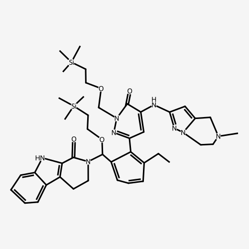 CCc1cccc(C(OCC[Si](C)(C)C)N2CCc3c([nH]c4ccccc34)C2=O)c1-c1cc(Nc2cc3n(n2)CCN(C)C3)c(=O)n(COCC[Si](C)(C)C)n1